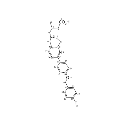 CC(CC(=O)O)CN1CCc2nc(-c3ccc(OCc4ccc(F)cc4)cc3)ncc2C1